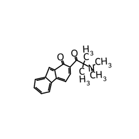 CN(C)C(C)(C)C(=O)C1=CC=C2C(=Cc3ccccc32)C1=O